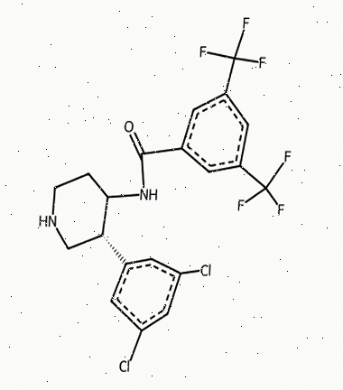 O=C(NC1CCNC[C@H]1c1cc(Cl)cc(Cl)c1)c1cc(C(F)(F)F)cc(C(F)(F)F)c1